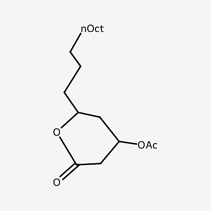 CCCCCCCCCCCC1CC(OC(C)=O)CC(=O)O1